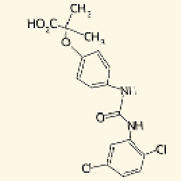 CC(C)(Oc1ccc(NC(=O)Nc2cc(Cl)ccc2Cl)cc1)C(=O)O